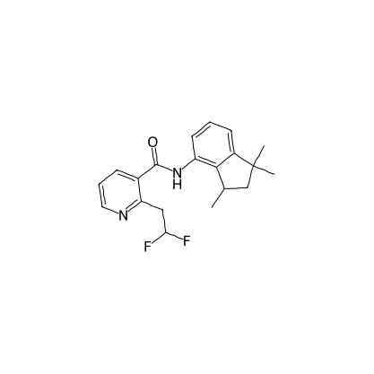 CC1CC(C)(C)c2cccc(NC(=O)c3cccnc3CC(F)F)c21